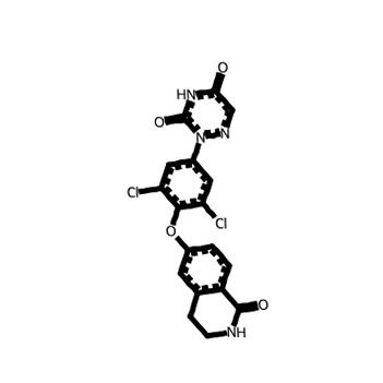 O=C1NCCc2cc(Oc3c(Cl)cc(-n4ncc(=O)[nH]c4=O)cc3Cl)ccc21